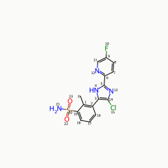 Cc1c(-c2[nH]c(-c3ccc(F)cn3)nc2Cl)cccc1S(N)(=O)=O